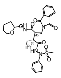 CC(C)C[C@@H](C(=O)NN(c1ccccc1)S(C)(=O)=O)[C@H](CN1C(=O)c2ccccc2C1=O)C(=O)NOC1CCCCO1